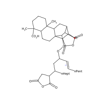 CCCCC/C=C/C(CC(CCCCCCC)C1CC(=O)OC1=O)OOC1C(C(C)C)C2CC3C4(C)CCCC(C)(C(=O)O)C4CCC13C1C(=O)OC(=O)C21